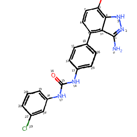 Nc1n[nH]c2c(O)ccc(-c3ccc(NC(=O)Nc4cccc(Cl)c4)cc3)c12